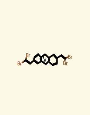 BrC(Br)=Cc1ccc2c(c1)C1CCC2c2cc(C=C(Br)Br)ccc21